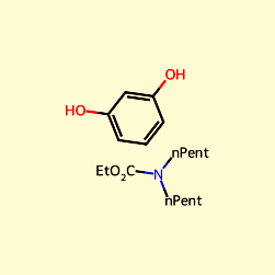 CCCCCN(CCCCC)C(=O)OCC.Oc1cccc(O)c1